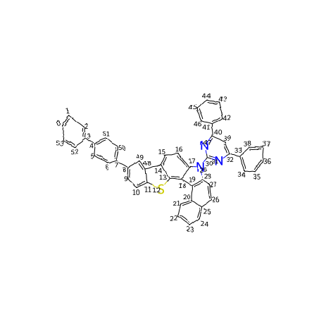 c1ccc(-c2ccc(-c3ccc4sc5c(ccc6c5c5c7ccccc7ccc5n6-c5nc(-c6ccccc6)cc(-c6ccccc6)n5)c4c3)cc2)cc1